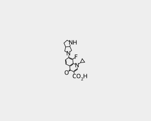 O=C(O)c1cn(C2CC2)c2c(F)c(N3CC4CCNC4C3)ccc2c1=O